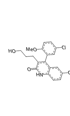 COc1ccc(Cl)cc1-c1c(CCCO)c(=O)[nH]c2ccc(C(F)(F)F)cc12